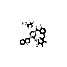 Cc1c(Cc2ccc(F)c(C(=O)N3CCN(C4COC5(CCCC5)C4)C(=O)C3)c2)n[nH]c(=O)c1C.O=C(O)C(F)(F)F